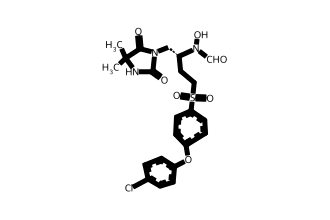 CC1(C)NC(=O)N(C[C@@H](CCS(=O)(=O)c2ccc(Oc3ccc(Cl)cc3)cc2)N(O)C=O)C1=O